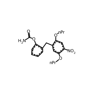 CCCOc1cc([N+](=O)[O-])c(OCCC)cc1Cc1ccccc1OC(N)=O